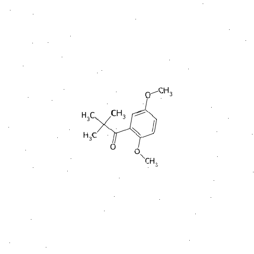 COc1ccc(OC)c(C(=O)C(C)(C)C)c1